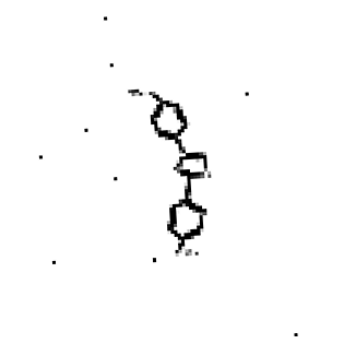 COc1ccc(-c2nc(-c3ccc(C(=O)O)cc3)co2)cc1